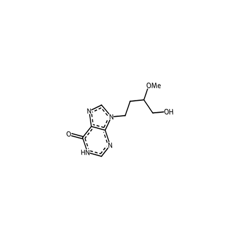 COC(CO)CCn1cnc2c(=O)[nH]cnc21